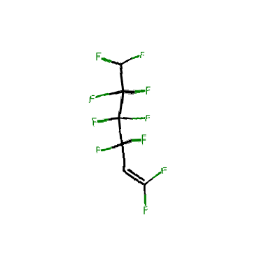 FC(F)=CC(F)(F)C(F)(F)C(F)(F)C(F)F